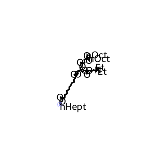 CCCCCCC/C=C\OC(=O)CCCCCCCCCCCC(=O)OCC(COC(=O)CCC(OCCCCCCCC)OCCCCCCCC)COC(=O)OCCCN(CC)CC